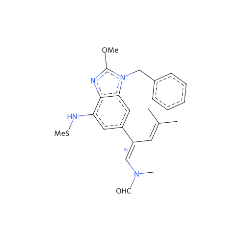 COc1nc2c(NSC)cc(/C(C=C(C)C)=C/N(C)C=O)cc2n1Cc1ccccc1